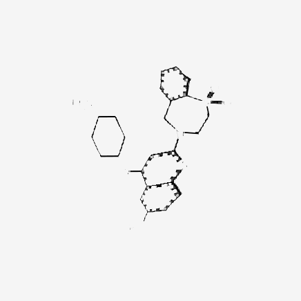 Cc1ccc2nc(N3CCS(=O)(=O)c4ccccc4C3)cc(N[C@H]3CC[C@@H](N)CC3)c2c1